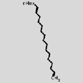 C=CCCCCCCCCCCCCC=CCCCCCC